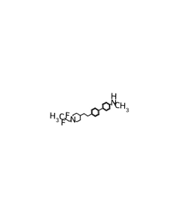 CNc1ccc(-c2ccc(CCC3CCN(CC(C)(F)F)CC3)cc2)cc1